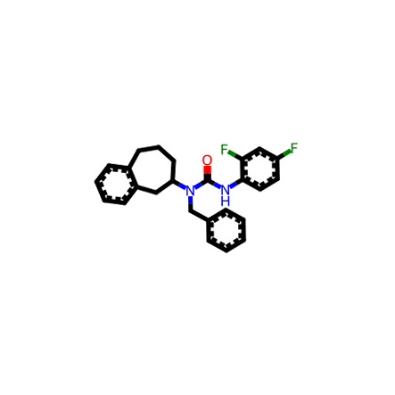 O=C(Nc1ccc(F)cc1F)N(Cc1ccccc1)C1CCCc2ccccc2C1